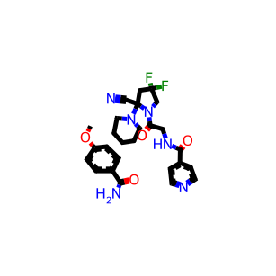 COc1ccc(C(N)=O)cc1.N#CC1(N2CCCCC2)CC(F)(F)CN1C(=O)CNC(=O)c1ccncc1